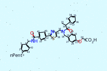 CCCCCc1ccc(CNC(=O)c2ccc(-c3nc(CN(Cc4ccc(OCC(=O)O)cc4)C(=O)C(C)c4ccccc4)cs3)cc2)cc1